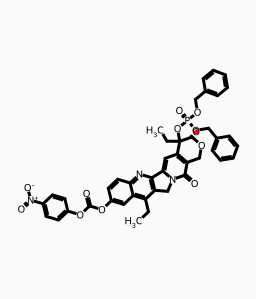 CCc1c2c(nc3ccc(OC(=O)Oc4ccc([N+](=O)[O-])cc4)cc13)-c1cc3c(c(=O)n1C2)COC(=O)C3(CC)OP(=O)(OCc1ccccc1)OCc1ccccc1